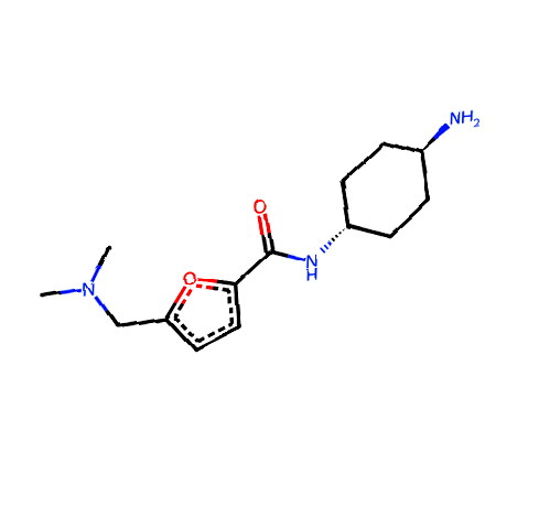 CN(C)Cc1ccc(C(=O)N[C@H]2CC[C@H](N)CC2)o1